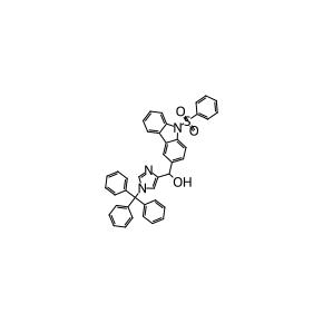 O=S(=O)(c1ccccc1)n1c2ccccc2c2cc(C(O)c3cn(C(c4ccccc4)(c4ccccc4)c4ccccc4)cn3)ccc21